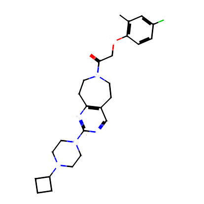 Cc1cc(Cl)ccc1OCC(=O)N1CCc2cnc(N3CCN(C4CCC4)CC3)nc2CC1